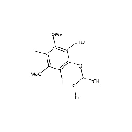 CCOC(C)Oc1c(I)c(OC)c(I)c(OC)c1C=O